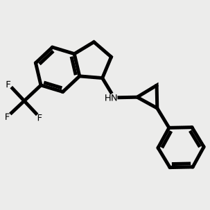 FC(F)(F)c1ccc2c(c1)C(NC1CC1c1ccccc1)CC2